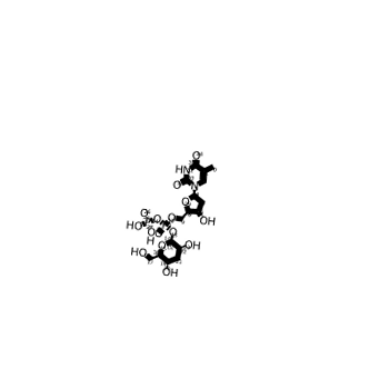 Cc1cn([C@H]2CC(O)[C@@H](COP(=O)(O[C@@H]3O[C@H](CO)[C@@H](O)C[C@H]3O)OP(=O)(O)O)O2)c(=O)[nH]c1=O